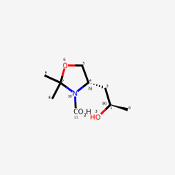 C[C@@H](O)C[C@H]1COC(C)(C)N1C(=O)O